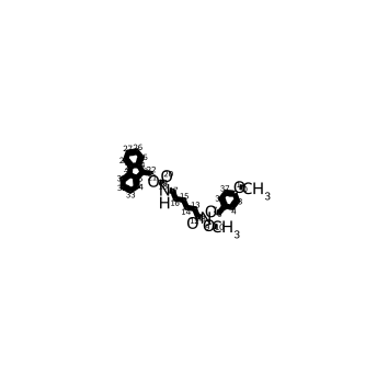 COc1ccc(CON(OC)C(=O)CCCCCNC(=O)OCC2c3ccccc3-c3ccccc32)cc1